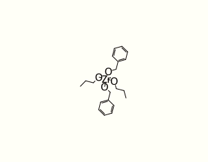 CCC[O][Zr]([O]CCC)([O]Cc1ccccc1)[O]Cc1ccccc1